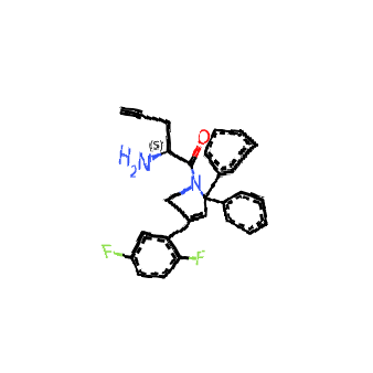 C#CC[C@H](N)C(=O)N1CC(c2cc(F)ccc2F)=CC1(c1ccccc1)c1ccccc1